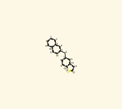 c1ccc2cc(Cc3ccc4sccc4c3)ccc2c1